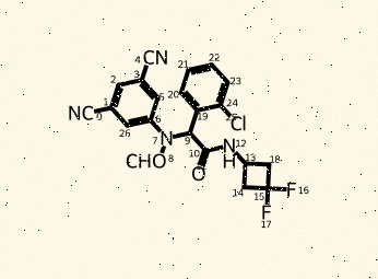 N#Cc1cc(C#N)cc(N(C=O)C(C(=O)NC2CC(F)(F)C2)c2ccccc2Cl)c1